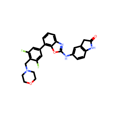 O=C1Cc2cc(Nc3nc4cccc(-c5cc(F)c(CN6CCOCC6)c(F)c5)c4o3)ccc2N1